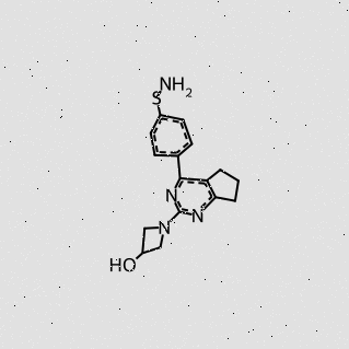 NSc1ccc(-c2nc(N3CC(O)C3)nc3c2CCC3)cc1